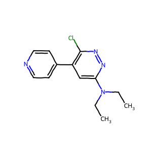 CCN(CC)c1cc(-c2ccncc2)c(Cl)nn1